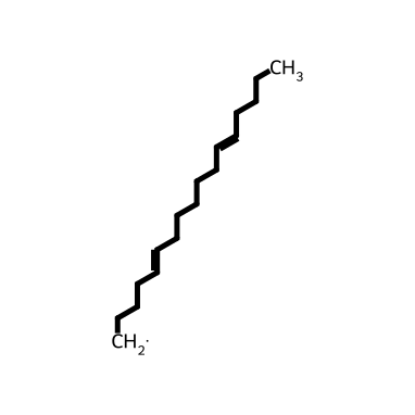 [CH2]CCCC=CCCCCCC=CCCCC